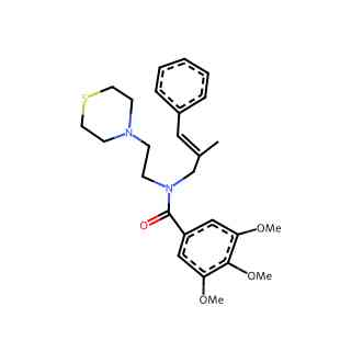 COc1cc(C(=O)N(CCN2CCSCC2)CC(C)=Cc2ccccc2)cc(OC)c1OC